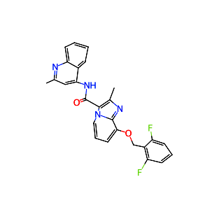 Cc1cc(NC(=O)c2c(C)nc3c(OCc4c(F)cccc4F)cccn23)c2ccccc2n1